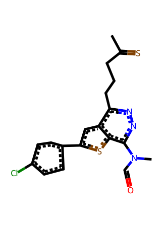 CC(=S)CCCc1nnc(N(C)C=O)c2sc(-c3ccc(Cl)cc3)cc12